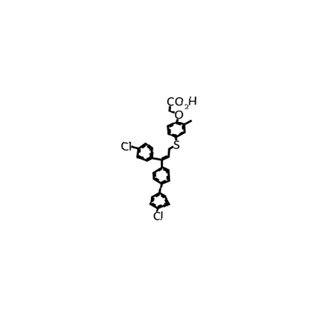 Cc1cc(SC/C=C(\c2ccc(Cl)cc2)c2ccc(-c3ccc(Cl)cc3)cc2)ccc1OCC(=O)O